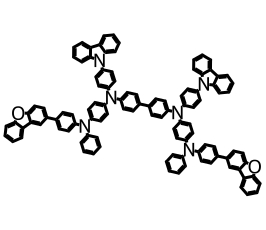 c1ccc(N(c2ccc(-c3ccc4oc5ccccc5c4c3)cc2)c2ccc(N(c3ccc(-c4ccc(N(c5ccc(N(c6ccccc6)c6ccc(-c7ccc8oc9ccccc9c8c7)cc6)cc5)c5ccc(-n6c7ccccc7c7ccccc76)cc5)cc4)cc3)c3ccc(-n4c5ccccc5c5ccccc54)cc3)cc2)cc1